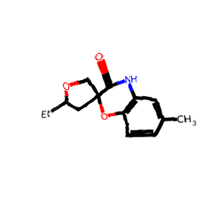 CCC1CC2(CO1)Oc1ccc(C)cc1NC2=O